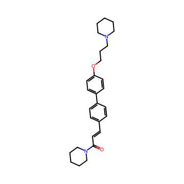 O=C(/C=C/c1ccc(-c2ccc(OCCCN3CCCCC3)cc2)cc1)N1CCCCC1